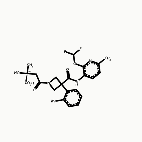 Cc1ccc(NC(=O)C2(c3ccccc3C(C)C)CN(C(=O)C[C@@](C)(O)C(=O)O)C2)c(OC(F)F)n1